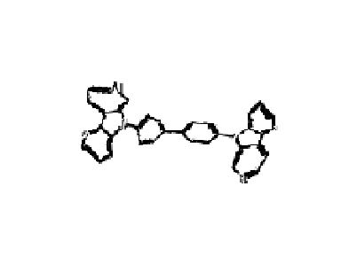 c1cnc2c3ccncc3n(-c3ccc(-c4ccc(-n5c6cnccc6c6ncccc65)cc4)cc3)c2c1